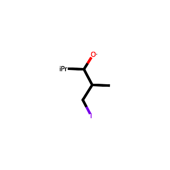 CC(C)C([O])C(C)CI